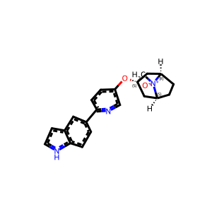 C[N+]1([O-])[C@@H]2CC[C@H]1C[C@H](Oc1ccc(-c3ccc4[nH]ccc4c3)nc1)C2